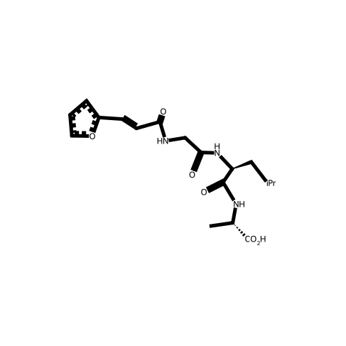 CC(C)C[C@H](NC(=O)CNC(=O)C=Cc1ccco1)C(=O)N[C@@H](C)C(=O)O